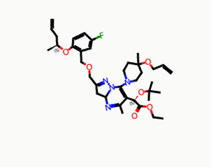 C=CCOC1(C)CCN(C2=C([C@H](OC(C)(C)C)C(=O)OCC)C(C)=NC3CC(COCc4cc(F)ccc4O[C@@H](C)CC=C)=NN23)CC1